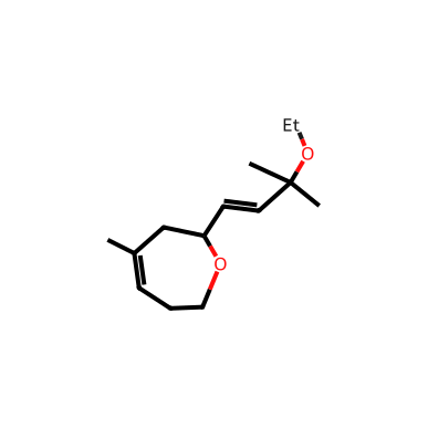 CCOC(C)(C)C=CC1CC(C)=CCCO1